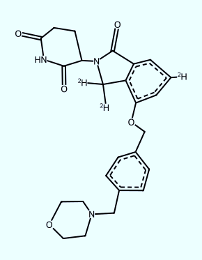 [2H]c1cc(OCc2ccc(CN3CCOCC3)cc2)c2c(c1)C(=O)N(C1CCC(=O)NC1=O)C2([2H])[2H]